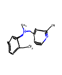 CN(c1ccnc(C#N)c1)c1ccccc1C(F)(F)F